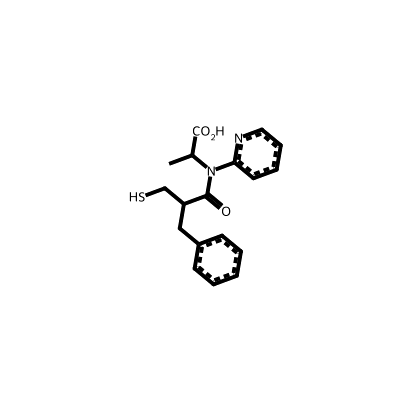 CC(C(=O)O)N(C(=O)C(CS)Cc1ccccc1)c1ccccn1